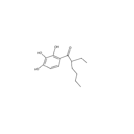 CCCCC(CC)C(=O)c1ccc(O)c(O)c1O